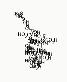 CC(C)(C)C(=O)NCCOCCOCCNC(=O)CCc1ccc(O)c(CN(CCN(CC(=O)O)Cc2cc(CCC(=O)NCc3cn(CCCCC(=O)NC(CCC(=O)O)C(=O)NC(Cc4c[nH]cn4)C(=O)NC(CCC(=O)O)C(=O)NC(Cc4c[nH]cn4)C(=O)NC(CCC(=O)O)C(=O)NC(Cc4c[nH]cn4)C(=O)NCCCCC(NC(=O)NC(CCC(=O)O)C(=O)O)C(=O)O)nn3)ccc2O)CC(=O)O)c1